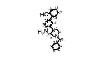 CC(c1ccccc1)N1CCN(c2cc(-c3ccccc3O)nnc2N)CC1